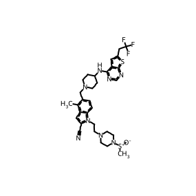 Cc1c(CN2CCC(Nc3ncnc4sc(CC(F)(F)F)cc34)CC2)ccc2c1cc(C#N)n2CCN1CCN([S+](C)[O-])CC1